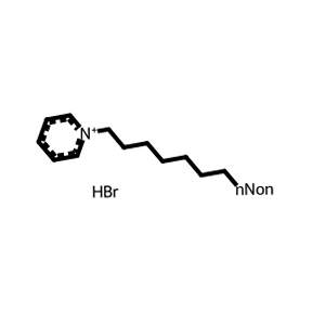 Br.CCCCCCCCCCCCCCCC[n+]1ccccc1